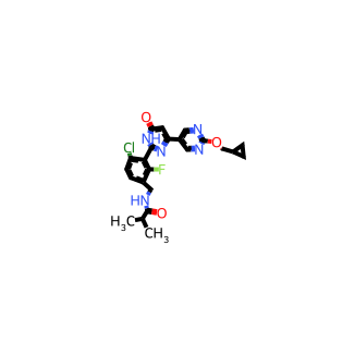 CC(C)C(=O)NCc1ccc(Cl)c(-c2nc(-c3cnc(OCC4CC4)nc3)cc(=O)[nH]2)c1F